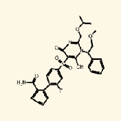 COCC(c1ccccc1)n1c(COC(C)C)nc(=O)c(S(=O)(=O)c2ccc(-c3ccccc3C(N)=O)c(F)c2)c1O